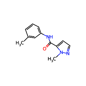 Cc1cccc(NC(=O)c2ccnn2C)c1